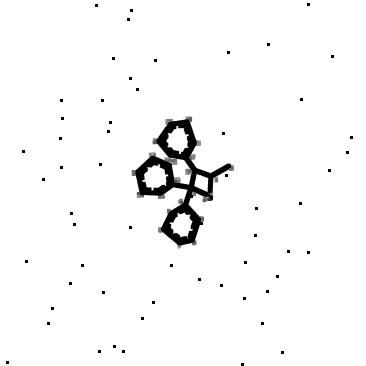 CC1SC(c2ccccc2)(c2ccccc2)C1c1ccccc1